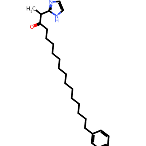 CC(C(=O)CCCCCCCCCCCCCCc1ccccc1)c1ncc[nH]1